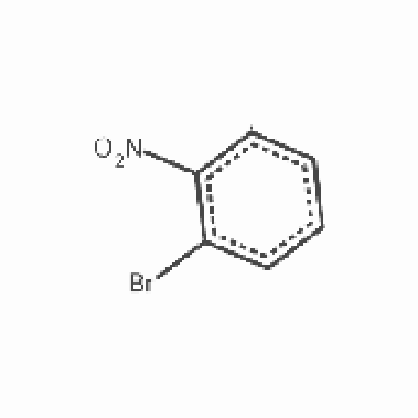 O=[N+]([O-])c1[c]cccc1Br